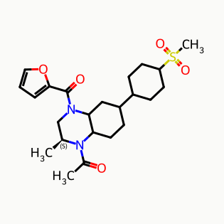 CC(=O)N1C2CCC(C3CCC(S(C)(=O)=O)CC3)CC2N(C(=O)c2ccco2)C[C@@H]1C